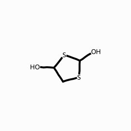 OC1CSC(O)S1